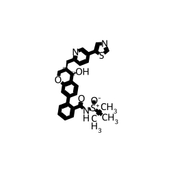 CC(C)(C)[S+]([O-])NC(=O)c1ccccc1-c1ccc2c(c1)OC[C@@H](Cc1ccc(-c3cncs3)cn1)[C@@H]2O